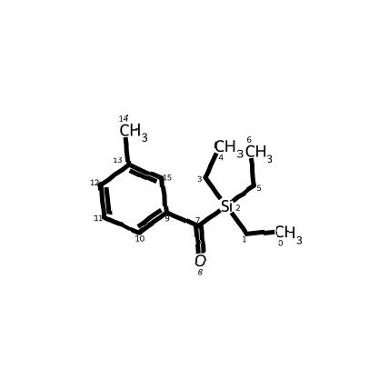 CC[Si](CC)(CC)C(=O)c1cccc(C)c1